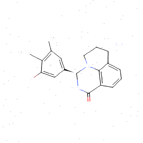 COc1cc([C@@H]2NC(=O)c3cccc4c3N2CC[C@@H]4N)cc(Br)c1OC